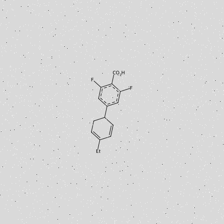 CCC1=CCC(c2cc(F)c(C(=O)O)c(F)c2)C=C1